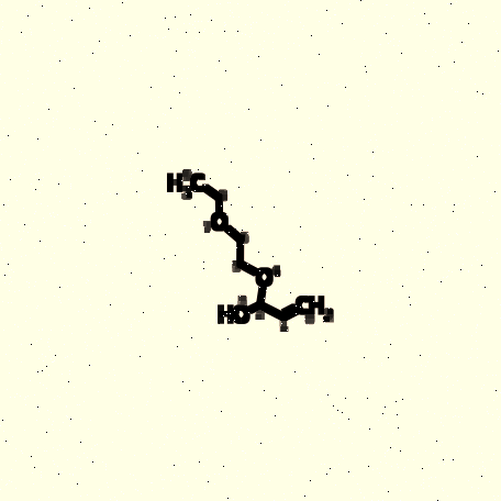 C=CC(O)OCCOCC